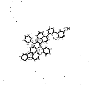 N#Cc1ccc(C#N)c(-c2cccc(-c3ccc4c5c(-c6ccccc6)c6c(cc7c8ccccc8c8cccc6c87)c(-c6ccccc6)c5c5cccc3c54)c2)c1